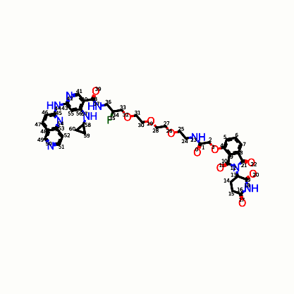 O=C(COc1cccc2c1C(=O)N(C1CCC(=O)NC1=O)C2=O)NCCOCCOCCOCC(F)CNC(=O)c1cnc(Nc2ccc3cnccc3n2)cc1NC1CC1